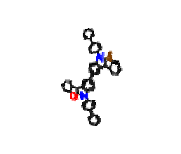 c1ccc(-c2ccc(-n3c4ccc(-c5ccc6c(c5)c5c7ccccc7sc5n6-c5ccc(-c6ccccc6)cc5)cc4c4c5ccccc5oc43)cc2)cc1